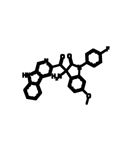 COc1ccc2c(c1)N(c1ccc(F)cc1)C(=O)C2(N)C(=O)c1cc2c(cn1)[nH]c1ccccc12